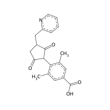 Cc1cc(C(=O)O)cc(C)c1C1C(=O)CC(Cc2ccccn2)C1=O